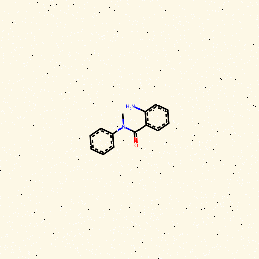 CN(C(=O)c1ccccc1N)c1ccccc1